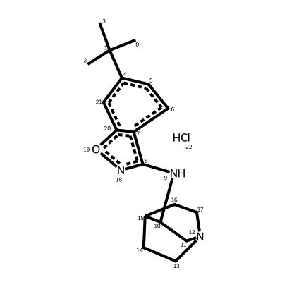 CC(C)(C)c1ccc2c(NC3CN4CCC3CC4)noc2c1.Cl